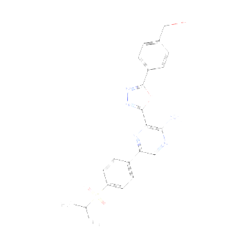 CC(C)S(=O)(=O)c1ccc(-c2cnc(N)c(-c3nnc(-c4ccc(CO)cc4)o3)n2)cc1